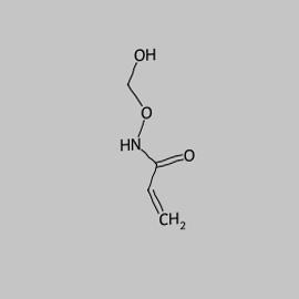 C=CC(=O)NOCO